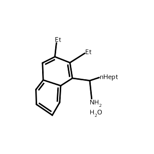 CCCCCCCC(N)c1c(CC)c(CC)cc2ccccc12.O